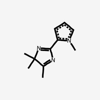 CC1=NC(c2cccn2C)=NC1(C)C